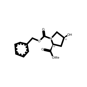 COC(=O)[C@@H]1C[C@H](O)CN1C(=O)OCc1ccccc1